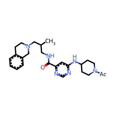 CC(=O)N1CCC(Nc2cc(C(=O)NCC(C)CN3CCc4ccccc4C3)ncn2)CC1